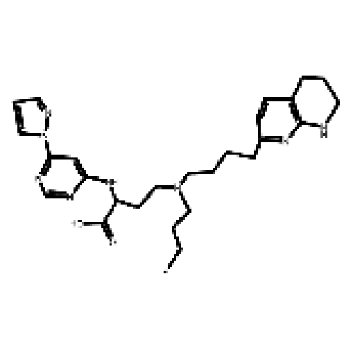 O=C(O)C(CCN(CCCF)CCCCc1ccc2c(n1)NCCC2)Nc1cc(-n2cccn2)ncn1